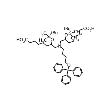 CC(C)(C)[Si](C)(C)OC(CCCCCC(=O)O)CN(CCCCOC(c1ccccc1)(c1ccccc1)c1ccccc1)CC(CCCCCC(=O)O)O[Si](C)(C)C(C)(C)C